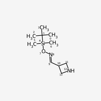 CC(C)(C)[Si](C)(C)ON=CC1CNC1